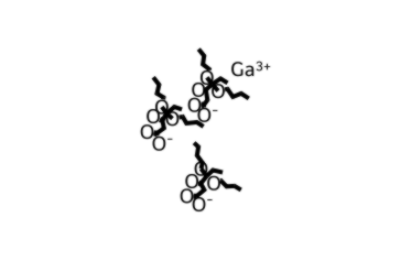 CCCCOC(CC)(OCCCC)C(=O)CC(=O)[O-].CCCCOC(CC)(OCCCC)C(=O)CC(=O)[O-].CCCCOC(CC)(OCCCC)C(=O)CC(=O)[O-].[Ga+3]